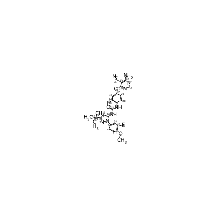 COc1ccc(-n2nc(C(C)(C)C)cc2NC(=O)Nc2ccc(Oc3ncnc(N)c3C#N)cc2F)cc1F